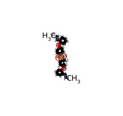 C/C=C/c1ccccc1Oc1ccc(S(=O)(=O)c2ccc(Oc3ccccc3/C=C/C)cc2)cc1